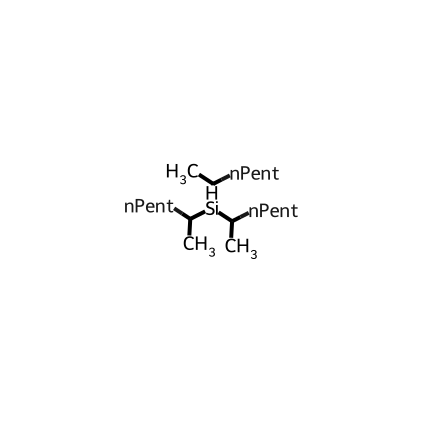 CCCCCC(C)[SiH](C(C)CCCCC)C(C)CCCCC